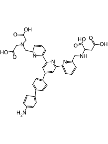 Nc1ccc(-c2ccc(-c3cc(-c4cccc(CNC(CC(=O)O)C(=O)O)n4)nc(-c4cccc(CN(CC(=O)O)CC(=O)O)n4)c3)cc2)cc1